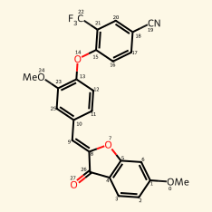 COc1ccc2c(c1)OC(=Cc1ccc(Oc3ccc(C#N)cc3C(F)(F)F)c(OC)c1)C2=O